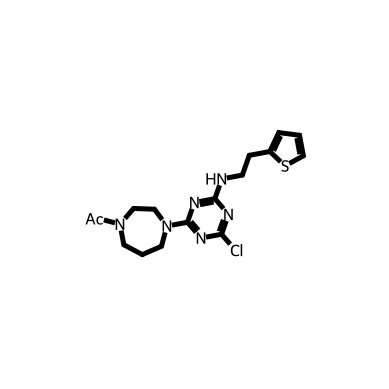 CC(=O)N1CCCN(c2nc(Cl)nc(NCCc3cccs3)n2)CC1